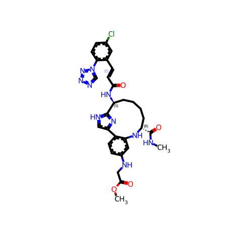 CNC(=O)[C@H]1CCCC[C@H](NC(=O)/C=C/c2cc(Cl)ccc2-n2cnnn2)c2nc(c[nH]2)-c2ccc(NCC(=O)OC)cc2N1